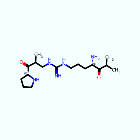 CC(C)C(=O)[C@@H](N)CCCNC(=N)NCC(C)C(=O)[C@@H]1CCCN1